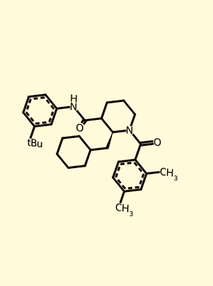 Cc1ccc(C(=O)N2CCCC(C(=O)Nc3cccc(C(C)(C)C)c3)[C@@H]2CC2CCCCC2)c(C)c1